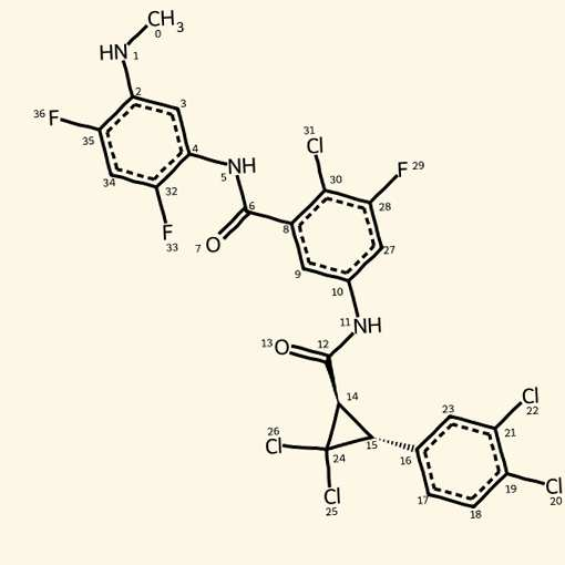 CNc1cc(NC(=O)c2cc(NC(=O)[C@H]3[C@H](c4ccc(Cl)c(Cl)c4)C3(Cl)Cl)cc(F)c2Cl)c(F)cc1F